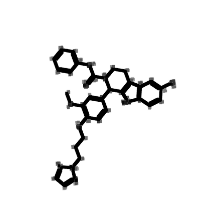 COc1cc(C2c3[nH]c4ccc(Cl)cc4c3CCN2C(=O)Oc2ccccc2)ccc1OCCCn1nccn1